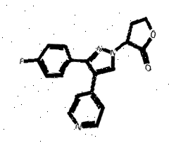 O=C1OCCC1n1cc(-c2ccncc2)c(-c2ccc(F)cc2)n1